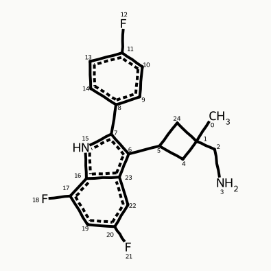 CC1(CN)CC(c2c(-c3ccc(F)cc3)[nH]c3c(F)cc(F)cc23)C1